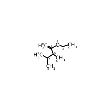 C=C(OCC)C(C)C(C)C